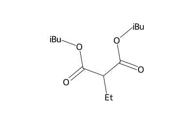 CCC(C)OC(=O)C(CC)C(=O)OC(C)CC